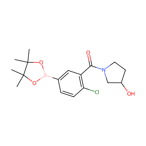 CC1(C)OB(c2ccc(Cl)c(C(=O)N3CCC(O)C3)c2)OC1(C)C